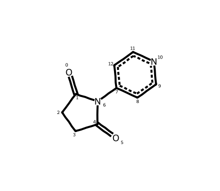 O=C1CCC(=O)N1c1ccncc1